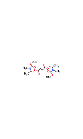 C[C@@H](COC(=O)/C=C/C(=O)OC[C@H](C)N(C)C(=O)OC(C)(C)C)N(C)C(=O)OC(C)(C)C